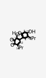 CC1=C(c2cc(C(C)C)c(O)cc2C)C=C(C(C)C)C(=O)C1=O